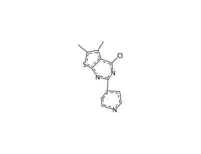 Cc1sc2nc(-c3ccncc3)nc(Cl)c2c1C